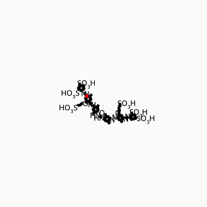 Cc1cc(NC(=O)Nc2cc(C)c(N=Nc3cc(C)c(N=Nc4ccc(S(=O)(=O)O)cc4S(=O)(=O)O)cc3OCCCS(=O)(=O)O)cc2C)c(C)cc1N=Nc1cc(C)c(N=Nc2ccc(S(=O)(=O)O)cc2S(=O)(=O)O)cc1OCCCS(=O)(=O)O